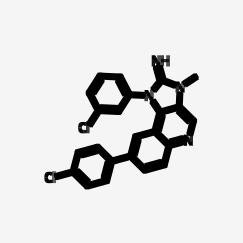 Cn1c(=N)n(-c2cccc(Cl)c2)c2c3cc(-c4ccc(Cl)cc4)ccc3ncc21